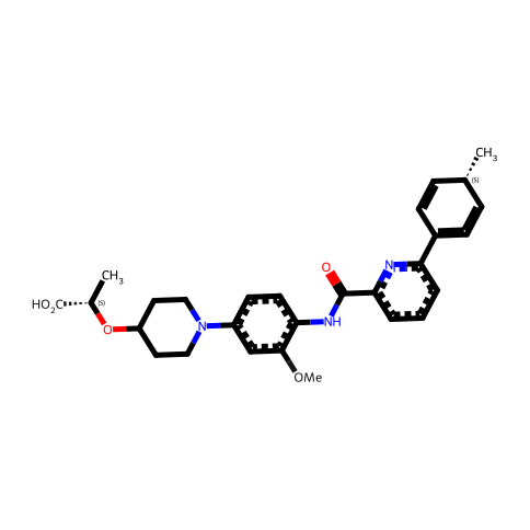 COc1cc(N2CCC(O[C@@H](C)C(=O)O)CC2)ccc1NC(=O)c1cccc(C2=C=C[C@@H](C)C=C2)n1